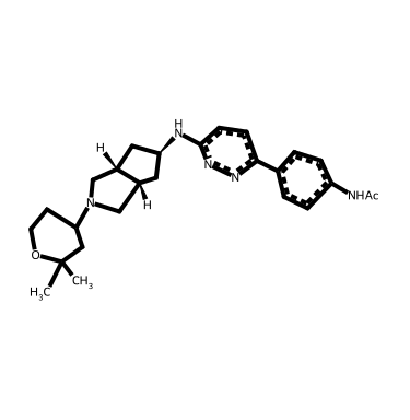 CC(=O)Nc1ccc(-c2ccc(N[C@H]3C[C@@H]4CN(C5CCOC(C)(C)C5)C[C@@H]4C3)nn2)cc1